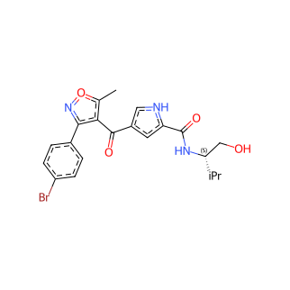 Cc1onc(-c2ccc(Br)cc2)c1C(=O)c1c[nH]c(C(=O)N[C@H](CO)C(C)C)c1